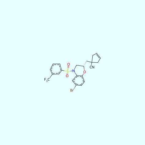 N#CC1(C[C@H]2CN(S(=O)(=O)c3cccc(C(F)(F)F)c3)c3cc(Br)ccc3O2)CC=CC1